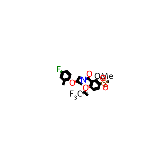 COc1c(S(C)(=O)=O)ccc(O[C@@H](C)C(F)(F)F)c1C(=O)N1CC(Oc2ccc(F)cc2C)C1